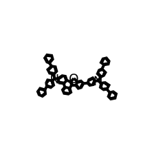 c1ccc(-c2ccc(N(c3ccc(-c4ccccc4)cc3)c3ccc(-c4ccc5c(c4)oc4c6ccc(N(c7ccc(-c8ccccc8)cc7)c7ccc(-c8ccccc8)cc7)cc6c6ccccc6c54)cc3)cc2)cc1